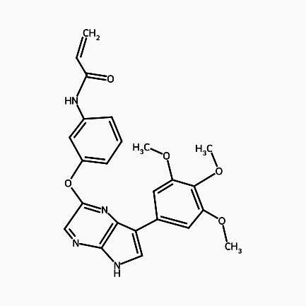 C=CC(=O)Nc1cccc(Oc2cnc3[nH]cc(-c4cc(OC)c(OC)c(OC)c4)c3n2)c1